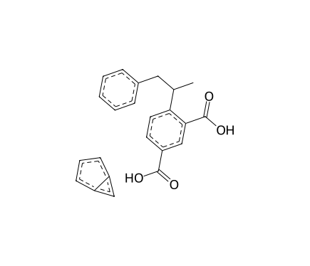 CC(Cc1ccccc1)c1ccc(C(=O)O)cc1C(=O)O.c1cc2cc-2c1